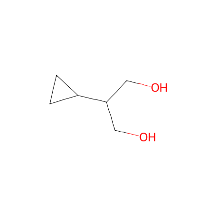 OCC(CO)C1CC1